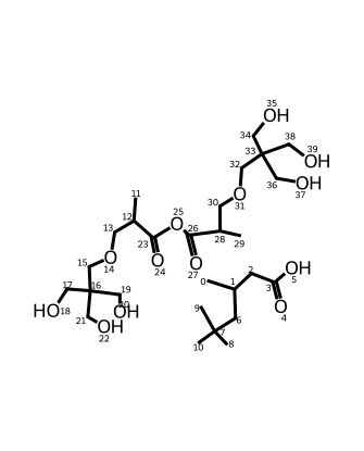 CC(CC(=O)O)CC(C)(C)C.CC(COCC(CO)(CO)CO)C(=O)OC(=O)C(C)COCC(CO)(CO)CO